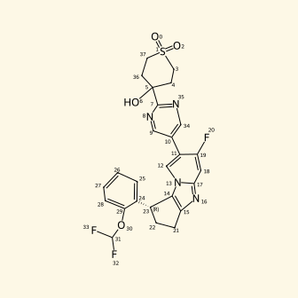 O=S1(=O)CCC(O)(c2ncc(-c3cn4c5c(nc4cc3F)CC[C@@H]5c3ccccc3OC(F)F)cn2)CC1